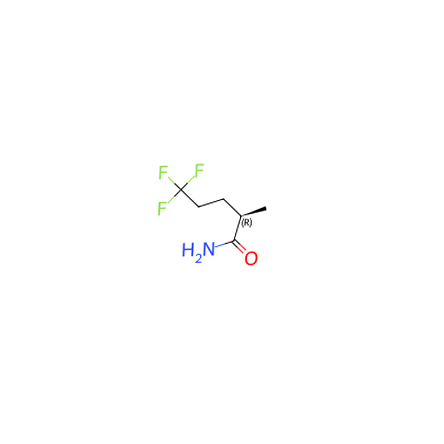 C[C@H](CCC(F)(F)F)C(N)=O